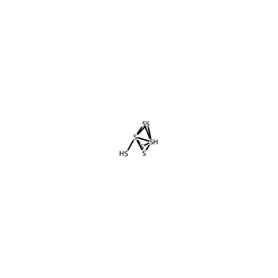 SS1234S[SH]1(S2)(S3)S4